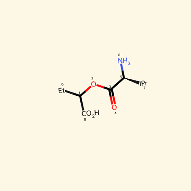 CCC(OC(=O)[C@@H](N)C(C)C)C(=O)O